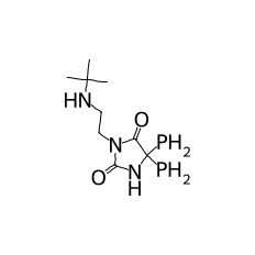 CC(C)(C)NCCN1C(=O)NC(P)(P)C1=O